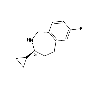 Fc1ccc2c(c1)CC[C@@H](C1CC1)NC2